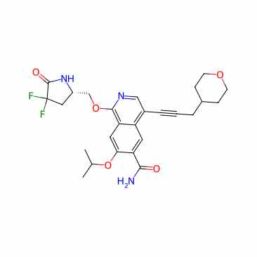 CC(C)Oc1cc2c(OC[C@@H]3CC(F)(F)C(=O)N3)ncc(C#CCC3CCOCC3)c2cc1C(N)=O